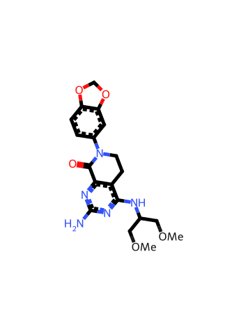 COCC(COC)Nc1nc(N)nc2c1CCN(c1ccc3c(c1)OCO3)C2=O